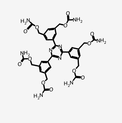 NC(=O)OCc1cc(COC(N)=O)cc(-c2nc(-c3cc(COC(N)=O)cc(COC(N)=O)c3)nc(-c3cc(COC(N)=O)cc(COC(N)=O)c3)n2)c1